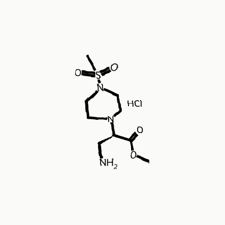 COC(=O)[C@@H](CN)N1CCN(S(C)(=O)=O)CC1.Cl